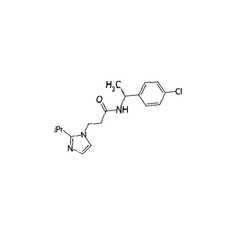 CC(C)c1nccn1CCC(=O)NC(C)c1ccc(Cl)cc1